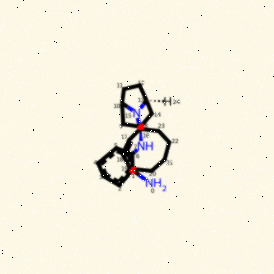 Nc1ccccc1N[C@H]1CC2CC[C@@H](C1)N2C1/C=C\CCCCC1